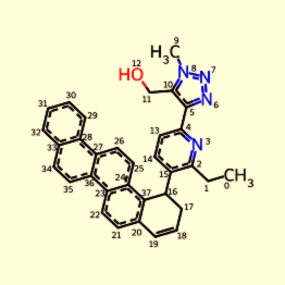 CCc1nc(-c2nnn(C)c2CO)ccc1C1CC=Cc2ccc3c(ccc4c5ccccc5ccc34)c21